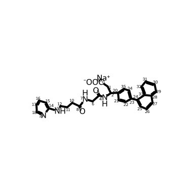 O=C([O-])CC(NC(=O)CNC(=O)CCCNc1ccccn1)c1ccc(-c2cccc3ccccc23)cc1.[Na+]